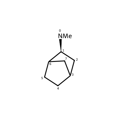 CN[C@H]1CC2CCC1C2